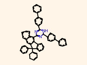 C1=CCCC(C2(c3ccccc3)c3ccccc3-c3c2cc2ccccc2c3C2=NC(c3ccc(-c4ccccc4)cc3)NC(c3ccc(-c4ccccc4)cc3)=N2)=C1